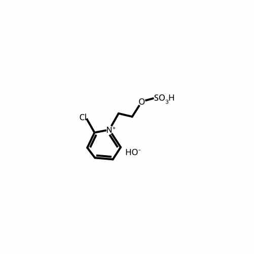 O=S(=O)(O)OCC[n+]1ccccc1Cl.[OH-]